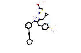 N[S+]([O-])c1ccc(Cc2c(-c3cccc(C#CC4CCCC4)c3)nn(-c3nc(C(=O)O)cs3)c2CC2CC2)cc1F